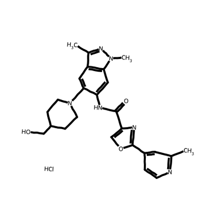 Cc1cc(-c2nc(C(=O)Nc3cc4c(cc3N3CCC(CO)CC3)c(C)nn4C)co2)ccn1.Cl